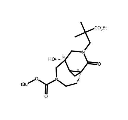 CCOC(=O)C(C)(C)CN1C[C@]2(O)CN(C(=O)OC(C)(C)C)CC[C@@]3(CC23)C1=O